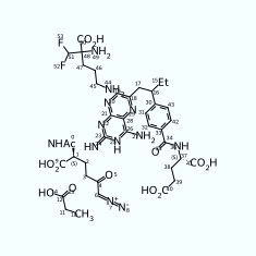 CC(=O)N[C@@H](CCC(=O)C=[N+]=[N-])C(=O)O.CCC(=O)O.CCC(Cc1cnc2nc(=N)[nH]c(N)c2n1)c1ccc(C(=O)N[C@@H](CCC(=O)O)C(=O)O)cc1.NCCCC(N)(C(=O)O)C(F)F